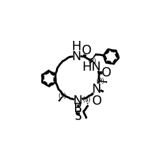 CCC[C@H]1C(=O)N(C)[C@H](C)C(=O)N[C@H](Cc2ccccc2)C(=O)NCCCc2ccccc2C[C@H](C)CN1B=S